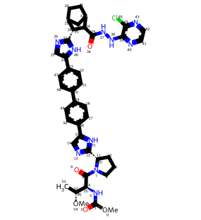 COC(=O)N[C@H](C(=O)N1CCC[C@H]1c1ncc(-c2ccc(-c3ccc(-c4cnc([C@@H]5C6CCC(C6)C5C(=O)NNc5nccnc5Cl)[nH]4)cc3)cc2)[nH]1)[C@@H](C)OC